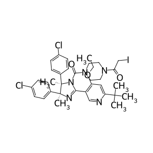 CCOc1cc(C(C)(C)C)ncc1C1=N[C@@](C)(c2ccc(Cl)cc2)[C@@](C)(c2ccc(Cl)cc2)N1C(=O)N1CCN(C(=O)CI)CC1